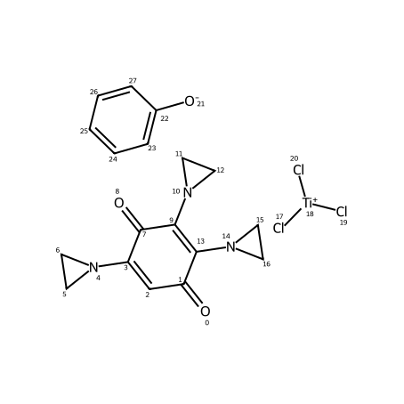 O=C1C=C(N2CC2)C(=O)C(N2CC2)=C1N1CC1.[Cl][Ti+]([Cl])[Cl].[O-]c1ccccc1